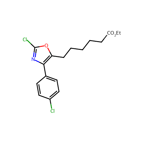 CCOC(=O)CCCCCc1oc(Cl)nc1-c1ccc(Cl)cc1